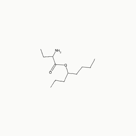 CCCCC(CCC)OC(=O)C(N)CC